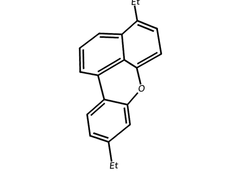 CCc1ccc2c(c1)Oc1ccc(CC)c3cccc-2c13